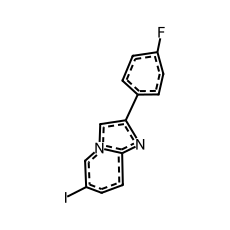 Fc1ccc(-c2cn3cc(I)ccc3n2)cc1